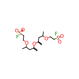 C=C(CC(C)OCCS(=O)(=O)F)OC(=C)CC(C)OCCS(=O)(=O)F